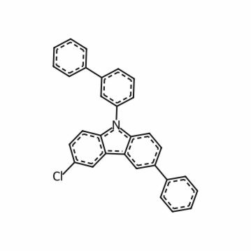 Clc1ccc2c(c1)c1cc(-c3ccccc3)ccc1n2-c1cccc(-c2ccccc2)c1